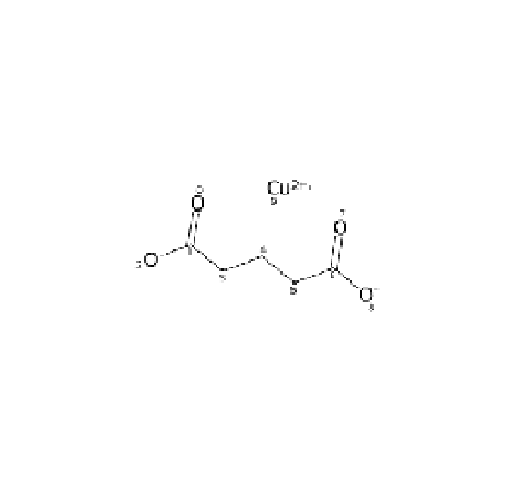 O=C([O-])CCCC(=O)[O-].[Cu+2]